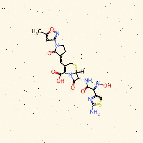 Cc1cc(N2CCC(=CC3=C(C(=O)O)N4C(=O)[C@@H](NC(=O)C(=NO)c5csc(N)n5)[C@H]4SC3)C2=O)no1